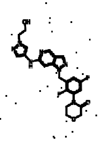 O=C1COCCN1c1cc(F)cc(Cn2ncc3cnc(Nc4cnn(CCO)c4)cc32)c1F